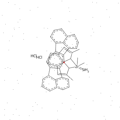 CC1=Cc2ccc3c(c2[CH]1[Zr]([CH3])([CH3])(=[SiH2])[CH]1C(C)=Cc2ccc4c(c21)-c1cccc2cccc-4c12)-c1cccc2cccc-3c12.Cl.Cl